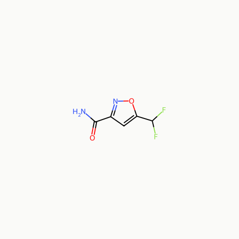 NC(=O)c1cc(C(F)F)on1